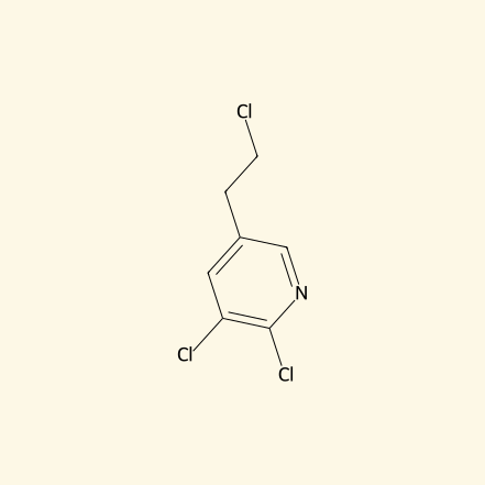 ClCCc1cnc(Cl)c(Cl)c1